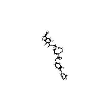 Cc1c(C(C)CN2CCN(C(=O)Cc3ccc(-n4cnnn4)cc3)CC2)ccc2c1COC2=O